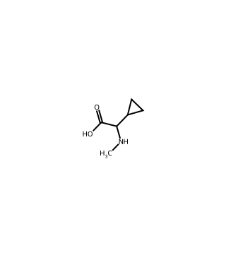 CNC(C(=O)O)C1CC1